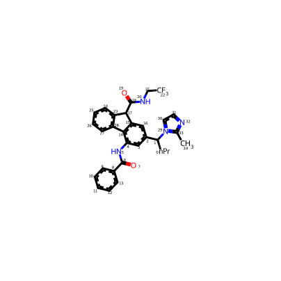 CCCC(c1cc(NC(=O)c2ccccc2)c2c(c1)C(C(=O)NCC(F)(F)F)c1ccccc1-2)n1ccnc1C